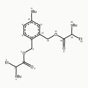 CCCCC(CC)C(=O)OCc1ccc(C(C)(C)C)cc1COC(=O)C(CC)CCCC